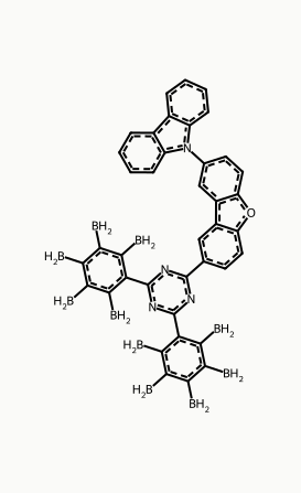 Bc1c(B)c(B)c(-c2nc(-c3ccc4oc5ccc(-n6c7ccccc7c7ccccc76)cc5c4c3)nc(-c3c(B)c(B)c(B)c(B)c3B)n2)c(B)c1B